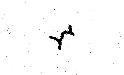 C=C/C=C\c1nc(-n2c3ccc(-c4nc5ccccc5o4)cc3c3cc(-c4nc5ccc(-c6ccc(C)c(-c7ccc8nc(-c9ccc%10c(c9)c9cc(-c%11nc%12ccc(-c%13ccc%14ccccc%14c%13)cc%12o%11)ccc9n%10-c9nc%10cc(-c%11ccc%12ccccc%12c%11)ccc%10o9)oc8c7)c6)cc5o4)ccc32)oc1C